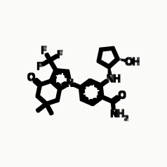 CC1(C)CC(=O)c2c(C(F)(F)F)cn(-c3ccc(C(N)=O)c(N[C@H]4CCC[C@@H]4O)c3)c2C1